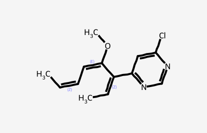 C\C=C/C=C(OC)\C(=C/C)c1cc(Cl)ncn1